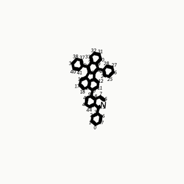 c1ccc(-c2nccc3c(-c4ccc5c6c(cccc46)-c4c-5c(-c5ccccc5)c5ccccc5c4-c4ccccc4)cccc23)cc1